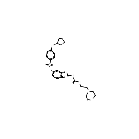 O=C(NCCN1CCOCC1)Nc1nc2cc(OS(=O)(=O)c3ccc(NC4CCCC4)cc3)ccc2[nH]1